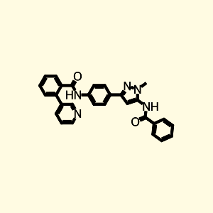 Cn1nc(-c2ccc(NC(=O)c3ccccc3-c3cccnc3)cc2)cc1NC(=O)c1ccccc1